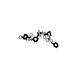 O=C(Nc1cccc(-c2csc(NC(=O)C3CCCN3C(=O)OCc3ccccc3)n2)c1)c1ccc(Cl)cc1